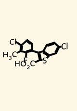 Cc1c(Cl)ccc(-c2c(C(=O)O)sc3cc(Cl)ccc23)c1F